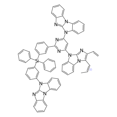 C=Cc1nc2n(-c3cc(-n4c5ccccc5n5c6ccccc6nc45)nc(-c4cccc([Si](c5ccccc5)(c5ccccc5)c5cccc(-n6c7ccccc7n7c8ccccc8nc67)c5)c4)n3)c3ccccc3n2c1/C=C\C